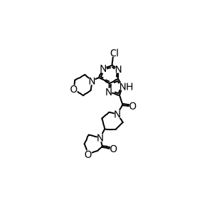 O=C(c1nc2c(N3CCOCC3)nc(Cl)nc2[nH]1)N1CCC(N2CCOCC2=O)CC1